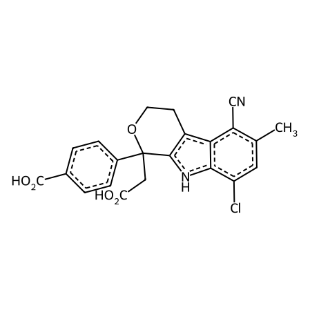 Cc1cc(Cl)c2[nH]c3c(c2c1C#N)CCOC3(CC(=O)O)c1ccc(C(=O)O)cc1